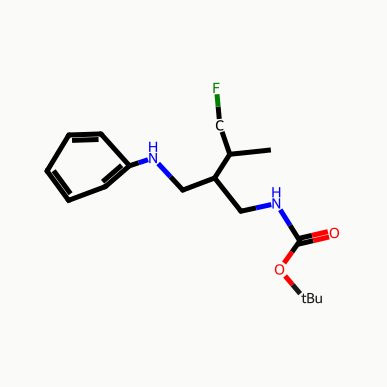 CC(CF)C(CNC(=O)OC(C)(C)C)CNc1ccccc1